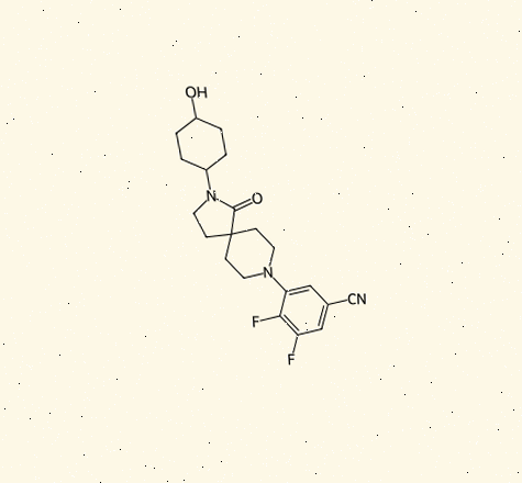 N#Cc1cc(F)c(F)c(N2CCC3(CC2)CCN(C2CCC(O)CC2)C3=O)c1